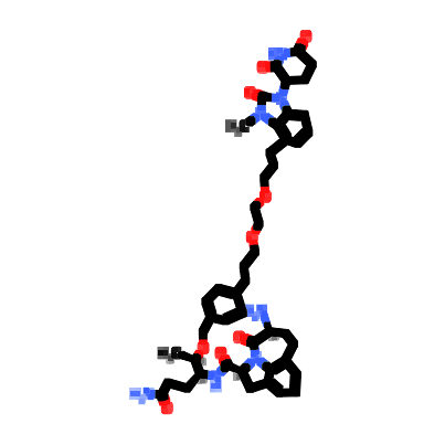 C[C@@H](OCc1ccc(CCCOCCOCCCc2cccc3c2n(C)c(=O)n3C2CCC(=O)NC2=O)cc1)[C@H](CCC(N)=O)NC(=O)[C@@H]1Cc2cccc3c2N1C(=O)[C@@H](N)CC3